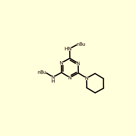 CCCCNc1nc(NCCCC)nc(N2CCCCC2)n1